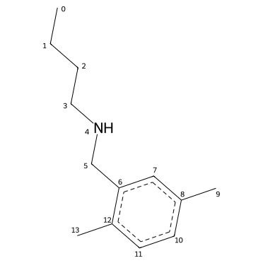 CCCCNCc1cc(C)ccc1C